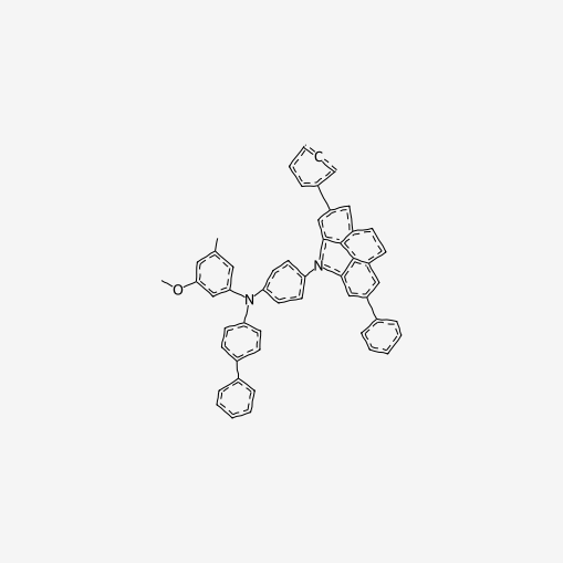 COc1cc(C)cc(N(c2ccc(-c3ccccc3)cc2)c2ccc(-n3c4cc(-c5ccccc5)cc5ccc6cc(-c7ccccc7)cc3c6c54)cc2)c1